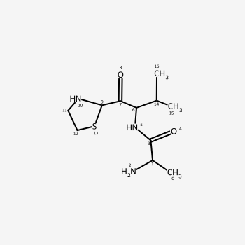 CC(N)C(=O)NC(C(=O)C1NCCS1)C(C)C